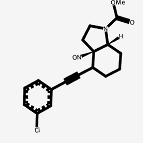 COC(=O)N1CC[C@@]2(N=O)C(C#Cc3cccc(Cl)c3)CCC[C@@H]12